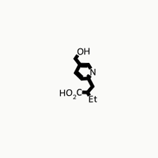 CCC(Cc1ccc(CO)cn1)C(=O)O